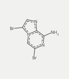 Nc1nc(Br)cn2c(Br)cnc12